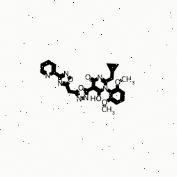 COc1cccc(OC)c1-n1c(CC2CC2)nc(=O)c(-c2nnc(Cc3nc(-c4ccccn4)no3)o2)c1O